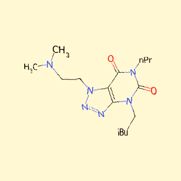 CCCn1c(=O)c2c(nnn2CCN(C)C)n(CC(C)CC)c1=O